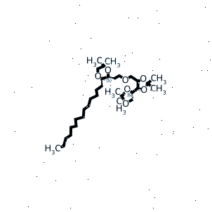 CCCCCCCCCCCCCC[C@H]1OCC(C)(C)O[C@H]1CCOCC1OC(C)(C)O[C@H]1[C@@H]1COC(C)(C)O1